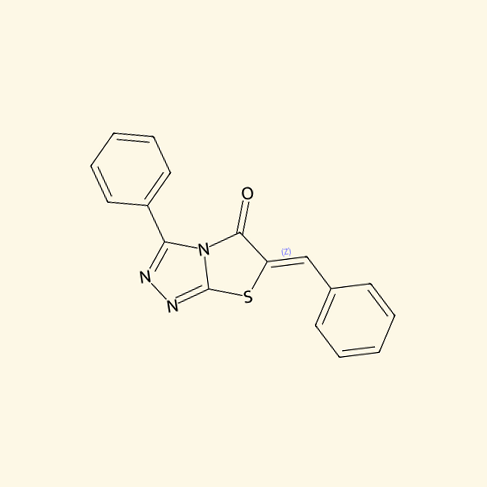 O=c1/c(=C/c2ccccc2)sc2nnc(-c3ccccc3)n12